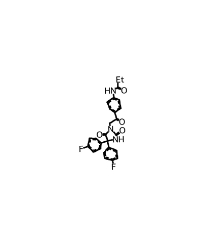 CCC(=O)Nc1ccc(C(=O)CN2C(=O)NC(c3ccc(F)cc3)(c3ccc(F)cc3)C2=O)cc1